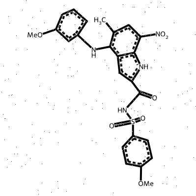 COc1ccc(S(=O)(=O)NC(=O)c2cc3c(Nc4cccc(OC)c4)c(C)cc([N+](=O)[O-])c3[nH]2)cc1